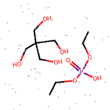 CCOP(=O)(O)OCC.OCC(CO)(CO)CO